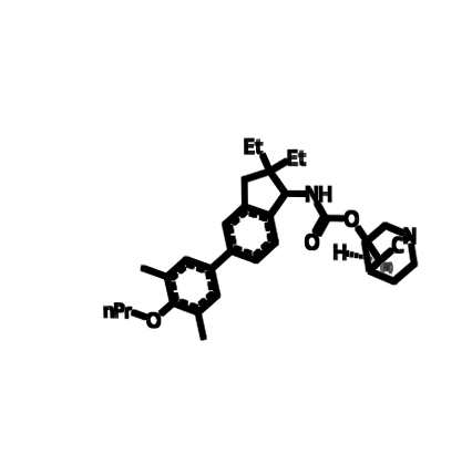 CCCOc1c(C)cc(-c2ccc3c(c2)CC(CC)(CC)C3NC(=O)O[C@H]2CN3CCC2CC3)cc1C